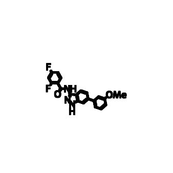 COc1cccc(-c2ccc3c(NC(=O)c4ccc(F)cc4F)n[nH]c3c2)c1